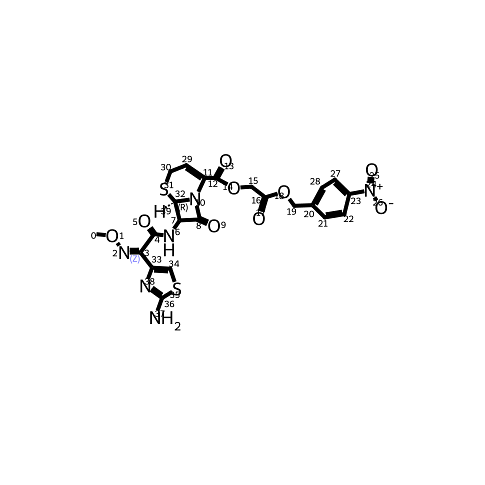 CO/N=C(\C(=O)NC1C(=O)N2C(C(=O)OCC(=O)OCc3ccc([N+](=O)[O-])cc3)=CCS[C@H]12)c1csc(N)n1